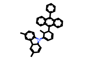 CC1=CC2c3cc(C)ccc3N(C3=CC=CC(c4c5ccccc5c(-c5ccccc5)c5ccccc45)C3C)C2C=C1